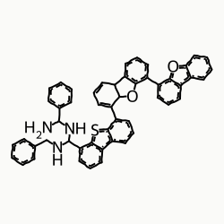 NC(NC(NCc1ccccc1)c1cccc2c1sc1c(C3=CC=CC4c5cccc(-c6cccc7c6oc6ccccc67)c5OC34)cccc12)c1ccccc1